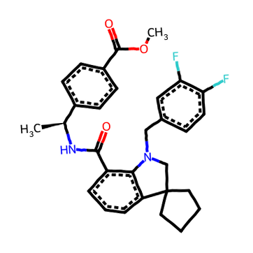 COC(=O)c1ccc([C@H](C)NC(=O)c2cccc3c2N(Cc2ccc(F)c(F)c2)CC32CCCC2)cc1